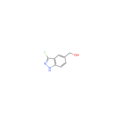 OCc1ccc2[nH]nc(F)c2c1